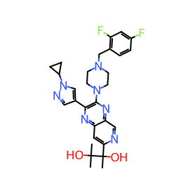 CC(C)(O)C(C)(O)c1cc2nc(-c3cnn(C4CC4)c3)c(N3CCN(Cc4ccc(F)cc4F)CC3)nc2cn1